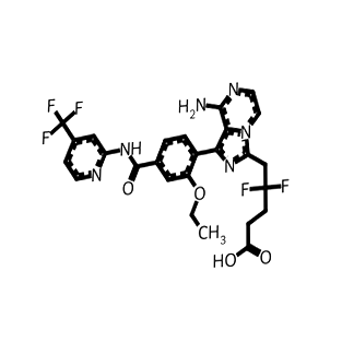 CCOc1cc(C(=O)Nc2cc(C(F)(F)F)ccn2)ccc1-c1nc(CC(F)(F)CCC(=O)O)n2ccnc(N)c12